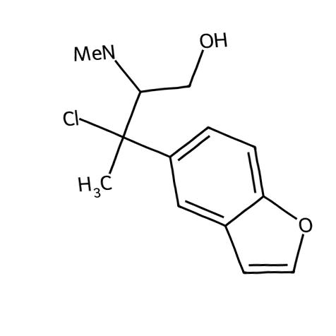 CNC(CO)C(C)(Cl)c1ccc2occc2c1